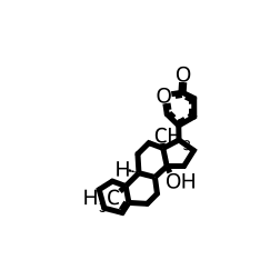 CC12CCCC=C1CCC1[C@@H]2CCC2(C)C(c3ccc(=O)oc3)CCC12O